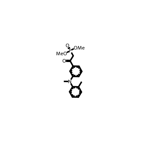 COP(=O)(CC(=O)c1cccc(N(C)c2ccccc2C)c1)OC